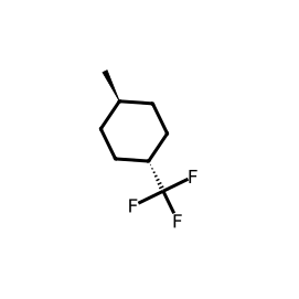 C[C@H]1CC[C@H](C(F)(F)F)CC1